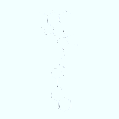 C[C@H](OC(=O)C1CSP(=O)(OCC2O[C@@H](n3cnc4c(=O)[nH]c(N)nc43)[C@](C)(O)[C@@H]2O)N1)c1ccccc1